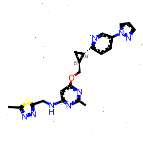 Cc1nc(NCc2nnc(C)s2)cc(OC[C@H]2C[C@@H]2c2ccc(-n3cccn3)cn2)n1